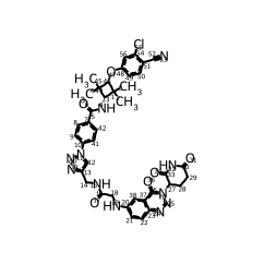 CC1(C)[C@H](NC(=O)c2ccc(-n3cc(CNC(=O)CNc4ccc5nnn(C6CCC(=O)NC6=O)c(=O)c5c4)nn3)cc2)C(C)(C)[C@H]1Oc1ccc(C#N)c(Cl)c1